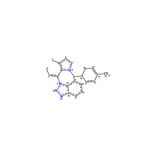 C/C=C(\c1c(C)ccn1CC1C=CC(C(F)(F)F)=CC1)n1nnc2ccccc21